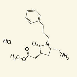 COC(=O)C[C@@H]1C[C@@H](CN)N(CCCc2ccccc2)C1=O.Cl